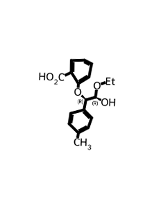 CCO[C@@H](O)[C@H](Oc1ccccc1C(=O)O)c1ccc(C)cc1